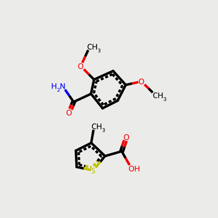 COc1ccc(C(N)=O)c(OC)c1.Cc1ccsc1C(=O)O